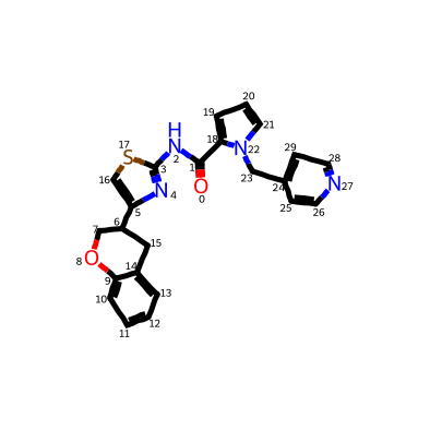 O=C(Nc1nc(C2COc3ccccc3C2)cs1)c1cccn1Cc1ccncc1